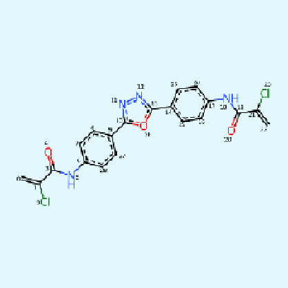 C=C(Cl)C(=O)Nc1ccc(-c2nnc(-c3ccc(NC(=O)C(=C)Cl)cc3)o2)cc1